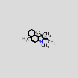 C/C=C1\N(C)C2=C(C3CCCCC3(C)C=C2)C1(C)C